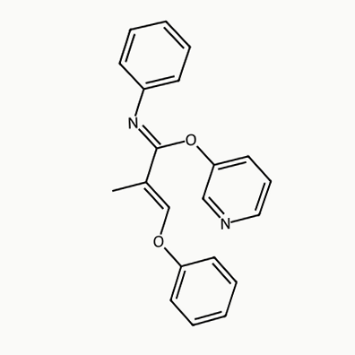 CC(=C\Oc1ccccc1)/C(=N/c1ccccc1)Oc1cccnc1